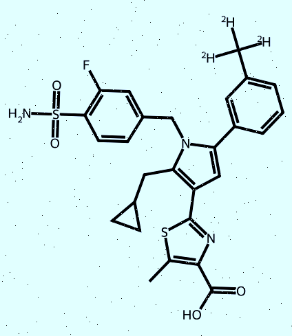 [2H]C([2H])([2H])c1cccc(-c2cc(-c3nc(C(=O)O)c(C)s3)c(CC3CC3)n2Cc2ccc(S(N)(=O)=O)c(F)c2)c1